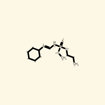 CCCOP(=S)(NC=NC1CCCCC1)SC